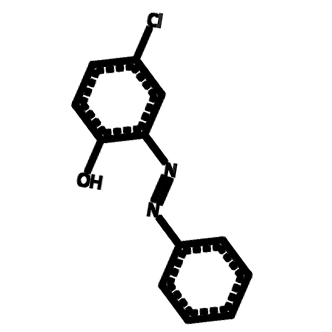 Oc1ccc(Cl)cc1/N=N/c1ccccc1